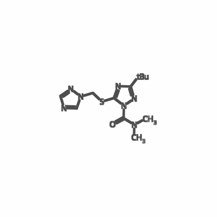 CN(C)C(=O)n1nc(C(C)(C)C)nc1SCn1cncn1